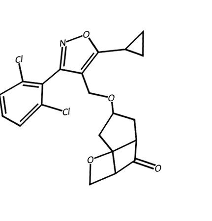 O=C1C2COC23CC(OCc2c(-c4c(Cl)cccc4Cl)noc2C2CC2)CC13